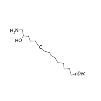 CCCCCCCCCCCCCCCCCCCCCCCCC(O)CN